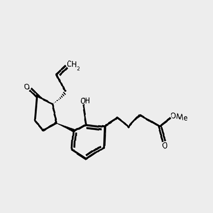 C=CC[C@H]1C(=O)CC[C@@H]1c1cccc(CCCC(=O)OC)c1O